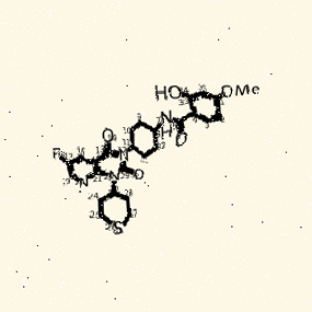 COc1ccc(C(=O)NC2CCC(n3c(=O)c4cc(F)cnc4n(C4CCSCC4)c3=O)CC2)c(O)c1